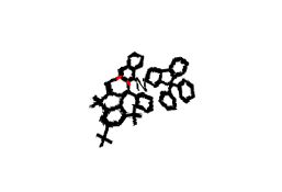 CC(C)(C)c1cc(C(C)(C)C)c2c(c1)C(C)(C)C1=CCCC(c3ccccc3N(C3=C=C=C4C(=C3)C(c3ccccc3)(c3ccccc3)c3ccccc34)c3cccc4ccccc34)=C12